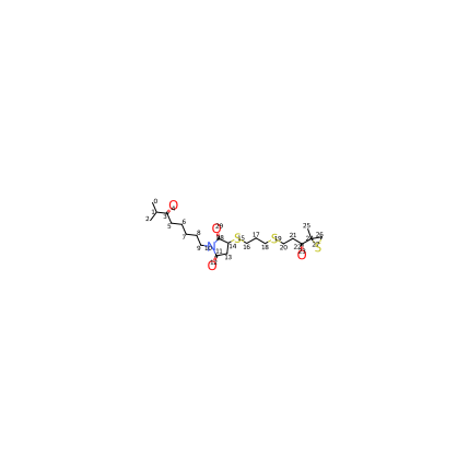 CC(C)C(=O)CCCCCN1C(=O)CC(SCCCSCCC(=O)C2(C)CS2)C1=O